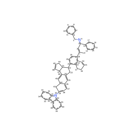 C/C(=C\C(=N/Cc1ccccc1)c1ccccc1)c1ccc(C2CC3=CC4=CC=C(n5c6ccccc6c6ccccc65)CC4C=C3C3C=CCC32)c2c1C=CCC2